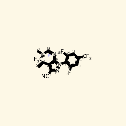 C=C(c1c(C#N)nn(-c2c(F)cc(C(F)(F)F)cc2F)c1/N=C\N(C)C)C(F)(F)F